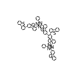 c1ccc(-c2nc(-c3ccc4c(c3)oc3ccccc34)nc(-c3cccc4c3oc3cc(-c5ccc6oc7c(-c8nc(-c9ccccc9)nc(-c9cccc%10c9oc9ccc(-c%11cccc%12c%11sc%11ccccc%11%12)cc9%10)n8)cccc7c6c5)c(-c5cccc6c5sc5ccccc56)cc34)n2)cc1